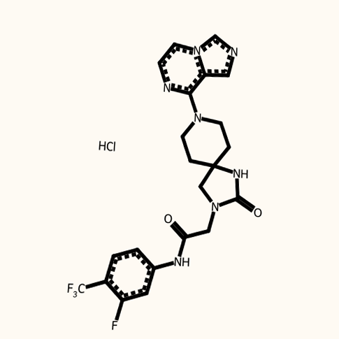 Cl.O=C(CN1CC2(CCN(c3nccn4cncc34)CC2)NC1=O)Nc1ccc(C(F)(F)F)c(F)c1